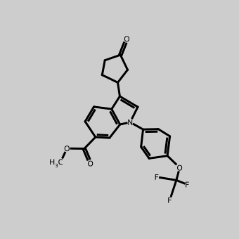 COC(=O)c1ccc2c(C3CCC(=O)C3)cn(-c3ccc(OC(F)(F)F)cc3)c2c1